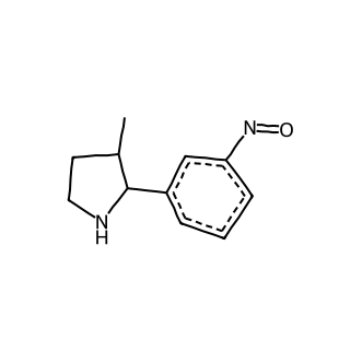 CC1CCNC1c1cccc(N=O)c1